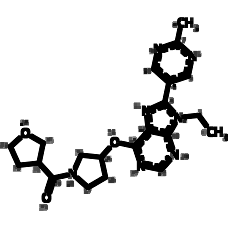 CCn1c(-c2cnc(C)nc2)nc2c(OC3CCN(C(=O)C4CCOC4)C3)ncnc21